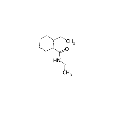 CCNC(=O)C1CCCCC1CC